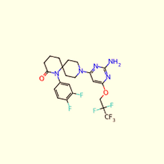 Nc1nc(OCC(F)(F)C(F)(F)F)cc(N2CCC3(CCCC(=O)N3c3ccc(F)c(F)c3)CC2)n1